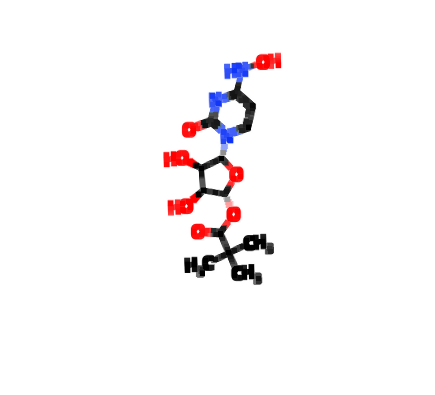 CC(C)(C)C(=O)O[C@H]1O[C@@H](n2ccc(NO)nc2=O)[C@H](O)[C@@H]1O